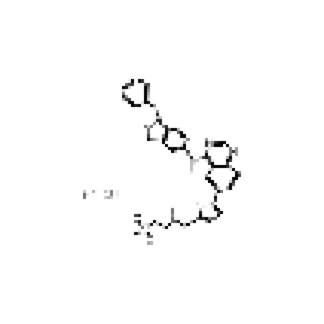 CS(=O)(=O)CCNCc1ccc(-c2ccc3ncnc(Nc4ccc5c(cnn5Cc5ccccc5)c4)c3c2)o1.Cl.Cl